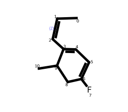 C/C=C\C1=CC=C(F)CC1C